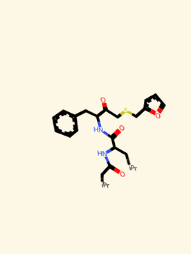 CC(C)CC(=O)NC(CC(C)C)C(=O)NC(Cc1ccccc1)C(=O)CSCc1ccco1